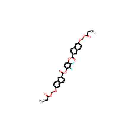 C=CC(=O)OCOc1ccc2cc(C(=O)Oc3ccc(OC(=O)c4ccc5cc(OCOC(=O)C=C)ccc5c4)c(F)c3F)ccc2c1